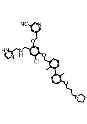 Cc1c(COc2cc(OCc3cncc(C#N)c3)c(CNCc3ncc[nH]3)cc2Cl)cccc1-c1cccc(OCCCN2CCCC2)c1C